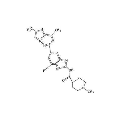 Cc1cn2nc(-c3cc(F)c4nc(NC(=O)C5CCN(C)CC5)nn4c3)cc(C)c2n1